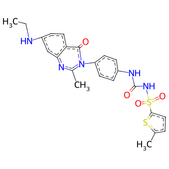 CCNc1ccc2c(=O)n(-c3ccc(NC(=O)NS(=O)(=O)c4ccc(C)s4)cc3)c(C)nc2c1